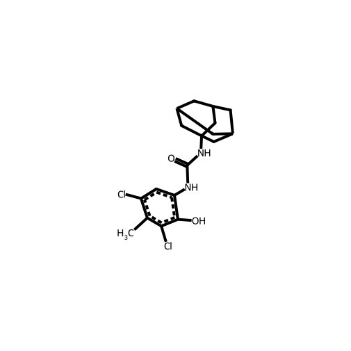 Cc1c(Cl)cc(NC(=O)NC23CC4CC(CC(C4)C2)C3)c(O)c1Cl